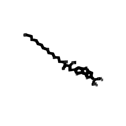 CN(C)c1cc2sc3cc(/C=C(\C#N)C(=O)NCCOCCOCCCCCCCl)sc3c2s1